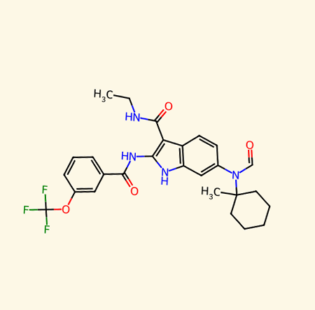 CCNC(=O)c1c(NC(=O)c2cccc(OC(F)(F)F)c2)[nH]c2cc(N(C=O)C3(C)CCCCC3)ccc12